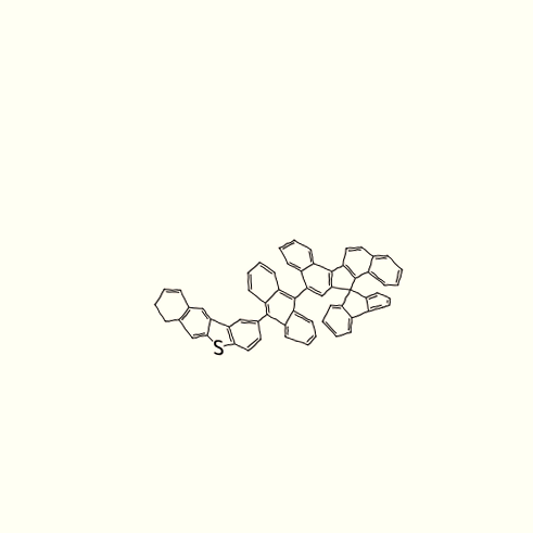 C1=Cc2cc3c(cc2CC1)sc1ccc(-c2c4ccccc4c(-c4cc5c(c6ccccc46)-c4ccc6ccccc6c4C54c5ccccc5-c5ccccc54)c4ccccc24)cc13